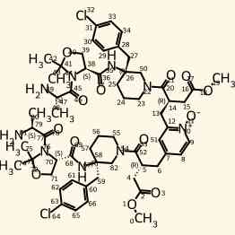 COC(=O)C[C@@H](Cc1cc[n+]([O-])c(C[C@H](CC(=O)OC)C(=O)N2CCC[C@](Cc3ccc(Cl)cc3)(NC(=O)[C@@H]3COC(C)(C)N3C(=O)[C@H](C)N)C2)c1)C(=O)N1CCC[C@](Cc2ccc(Cl)cc2)(NC(=O)[C@@H]2COC(C)(C)N2C(=O)[C@H](C)N)C1